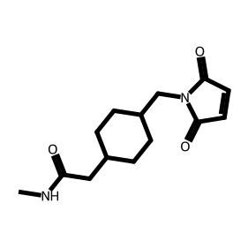 CNC(=O)CC1CCC(CN2C(=O)C=CC2=O)CC1